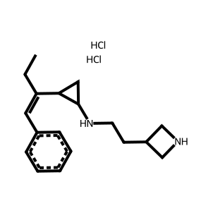 CCC(=Cc1ccccc1)C1CC1NCCC1CNC1.Cl.Cl